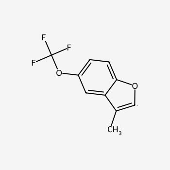 Cc1[c]oc2ccc(OC(F)(F)F)cc12